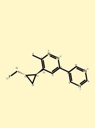 Cc1nnc(-c2cncnc2)cc1[C@H]1C[C@@H]1CF